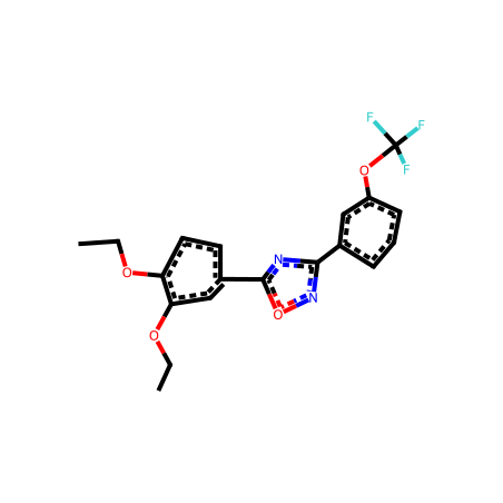 CCOc1ccc(-c2nc(-c3cccc(OC(F)(F)F)c3)no2)cc1OCC